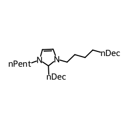 CCCCCCCCCCCCCCN1C=CN(CCCCC)C1CCCCCCCCCC